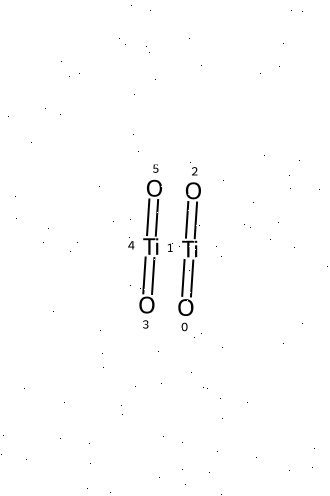 [O]=[Ti]=[O].[O]=[Ti]=[O]